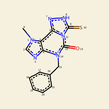 Cn1cnc2c1c1n[nH]c(=S)n1c(=O)n2Cc1ccccc1